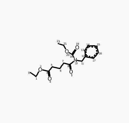 CCOC(=O)CCCC(=O)N(Cc1ccccc1)C(=O)OCC